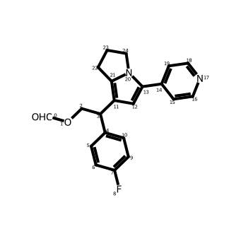 O=COCC(c1ccc(F)cc1)c1cc(-c2ccncc2)n2c1CCC2